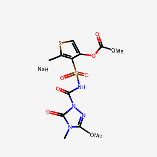 COC(=O)Oc1csc(C)c1S(=O)(=O)NC(=O)n1nc(OC)n(C)c1=O.[NaH]